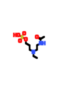 CCN(CCCOS(=O)(=O)O)CCNC(C)=O